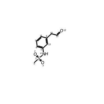 CS(=O)(=O)Nc1cccc(C[C]=O)c1